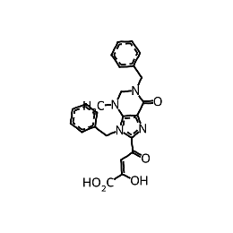 CN1CN(Cc2ccccc2)C(=O)c2nc(C(=O)/C=C(\O)C(=O)O)n(Cc3ccccc3)c21